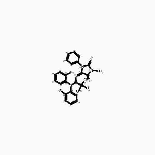 CN1C(=O)C(=NC(N(c2ccccc2F)c2ccccc2F)C(Cl)(Cl)Cl)N(c2ccccc2)C1=O